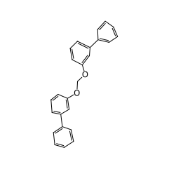 c1ccc(-c2cccc(OCOc3cccc(-c4ccccc4)c3)c2)cc1